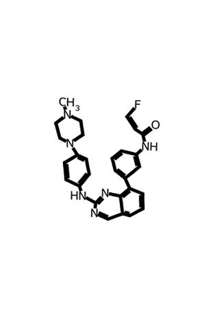 CN1CCN(c2ccc(Nc3ncc4cccc(-c5cccc(NC(=O)/C=C\F)c5)c4n3)cc2)CC1